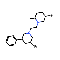 CC(C)C1CC(c2ccccc2)CN(CCN2CC(C(C)C)CCC2C)C1